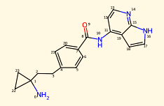 NC1(CCc2ccc(C(=O)Nc3ccnc4[nH]ccc34)cc2)CC1